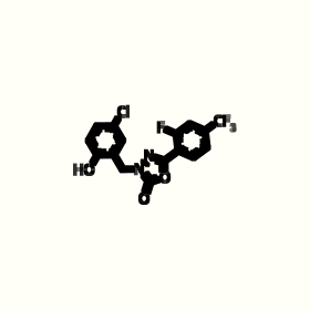 O=c1oc(-c2ccc(C(F)(F)F)cc2F)nn1Cc1cc(Cl)ccc1O